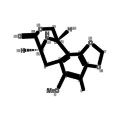 COc1c(C)c2c(c3c1C[C@@H]1N[C@@H]3COC1=O)OCO2